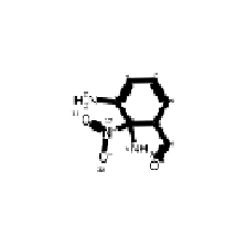 NC1=CC=CC(C=O)C1(N)[N+](=O)[O-]